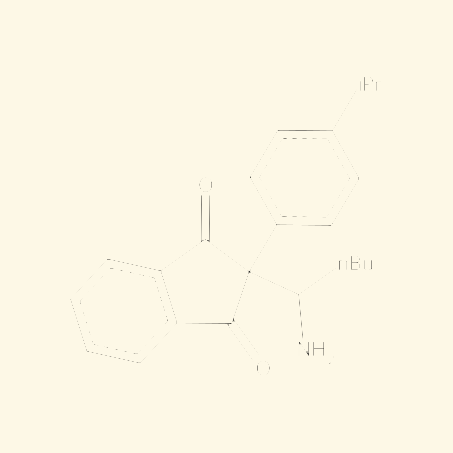 CCCCC(N)C1(c2[c]cc(C(C)C)cc2)C(=O)c2ccccc2C1=O